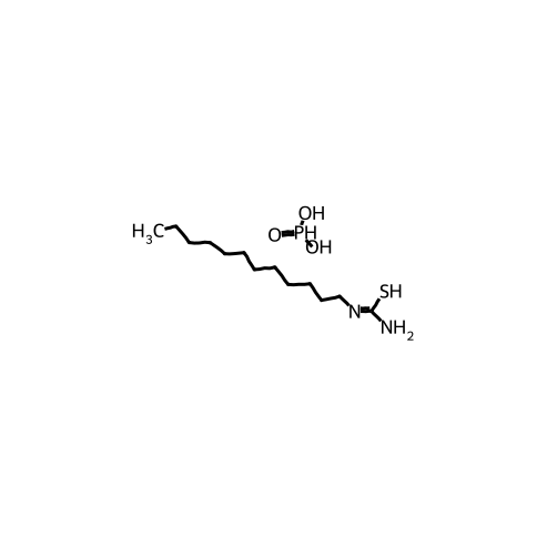 CCCCCCCCCCCCN=C(N)S.O=[PH](O)O